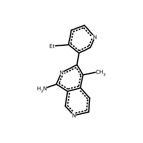 CCc1ccncc1-c1nc(N)c2cnccc2c1C